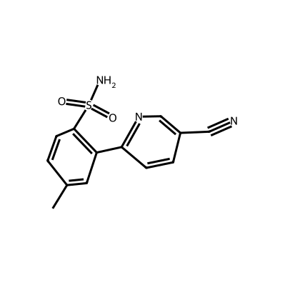 Cc1ccc(S(N)(=O)=O)c(-c2ccc(C#N)cn2)c1